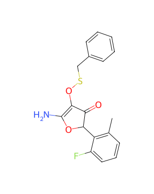 Cc1cccc(F)c1C1OC(N)=C(OSCc2ccccc2)C1=O